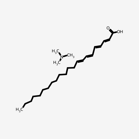 CCCCCCCCCCCCCC=CC=CC=CC=CC(=O)O.CN(C)C